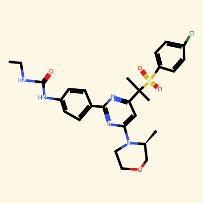 CCNC(=O)Nc1ccc(-c2nc(N3CCOC[C@@H]3C)cc(C(C)(C)S(=O)(=O)c3ccc(Cl)cc3)n2)cc1